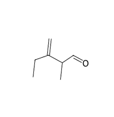 C=C(CC)C(C)C=O